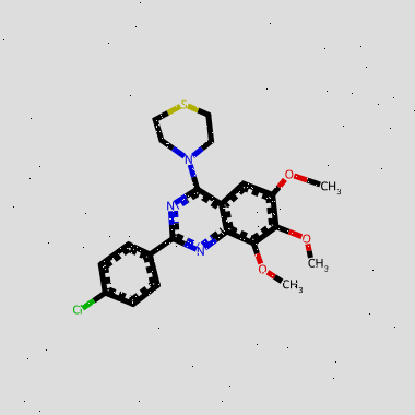 COc1cc2c(N3CCSCC3)nc(-c3ccc(Cl)cc3)nc2c(OC)c1OC